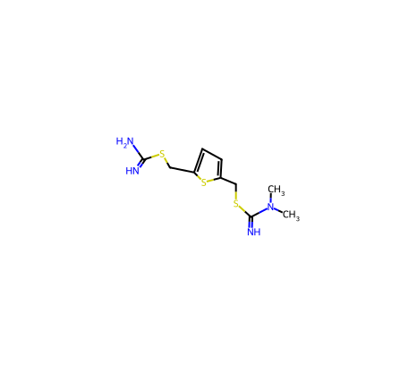 CN(C)C(=N)SCc1ccc(CSC(=N)N)s1